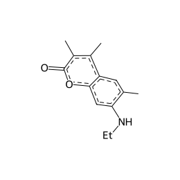 CCNc1cc2oc(=O)c(C)c(C)c2cc1C